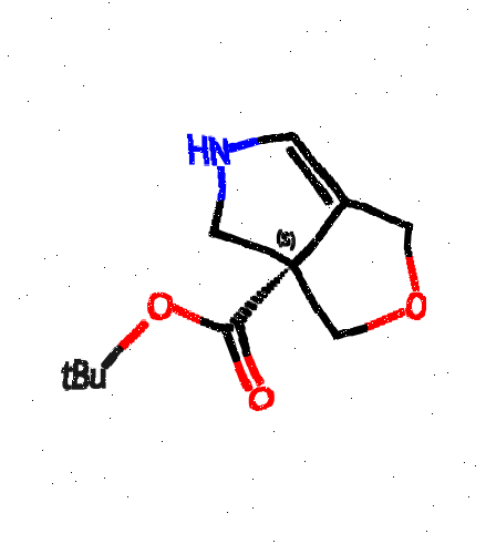 CC(C)(C)OC(=O)[C@]12CNC=C1COC2